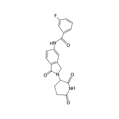 O=C1CCC(N2Cc3cc(NC(=O)c4cccc(F)c4)ccc3C2=O)C(=O)N1